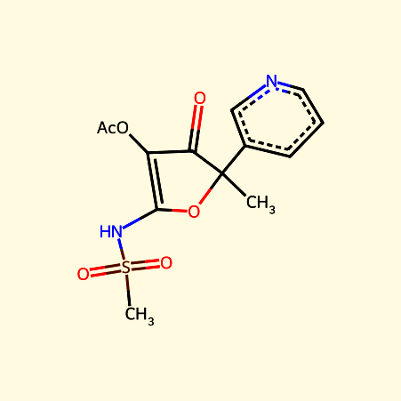 CC(=O)OC1=C(NS(C)(=O)=O)OC(C)(c2cccnc2)C1=O